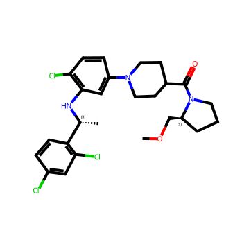 COC[C@@H]1CCCN1C(=O)C1CCN(c2ccc(Cl)c(N[C@H](C)c3ccc(Cl)cc3Cl)c2)CC1